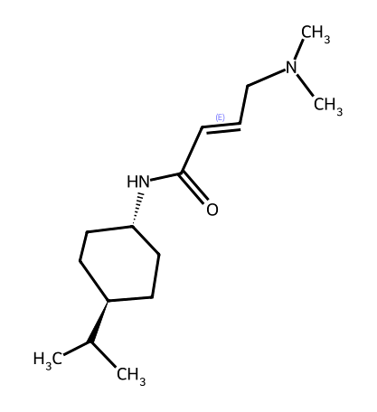 CC(C)[C@H]1CC[C@H](NC(=O)/C=C/CN(C)C)CC1